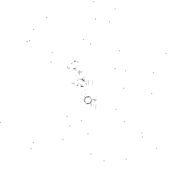 COC1CN(C(=O)OC(C)(C)C)CCC1NC(=O)COc1ccc(Cl)c(F)c1